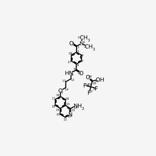 CN(C)C(=O)c1ccc(C(=O)NCCCOc2ccc3ccnc(N)c3c2)cc1.O=C(O)C(F)(F)F